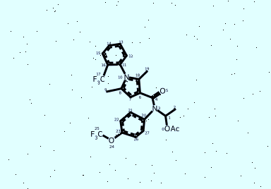 CC(=O)OC(C)N(C(=O)c1cc(C)n(-c2ccccc2C(F)(F)F)c1C)c1ccc(OC(F)(F)F)cc1